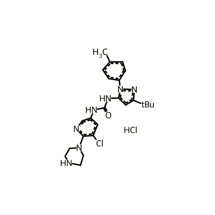 Cc1ccc(-n2nc(C(C)(C)C)cc2NC(=O)Nc2cnc(N3CCNCC3)c(Cl)c2)cc1.Cl